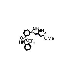 COCC/C(N)=C/N(N)C1C=C(S(=O)(=O)Nc2ccccc2C(F)(F)F)C=CC1